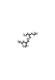 [2H]CCC(C[2H])COCC(C[2H])CC[2H]